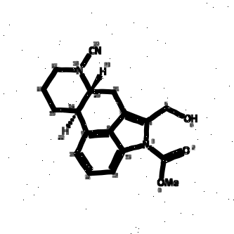 COC(=O)n1c(CO)c2c3c(cccc31)[C@H]1CCCN(C#N)[C@@H]1C2